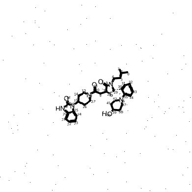 CC(C)CCN1C(=O)C(CC(=O)N2CCC(n3c(=O)[nH]c4ccccc43)CC2)S[C@H]1c1ccccc1N1CCC(O)CC1